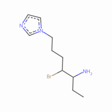 CCC(N)C(Br)CCCn1ccnc1